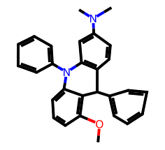 COc1cccc2c1C(c1ccccc1)c1ccc(N(C)C)cc1N2c1ccccc1